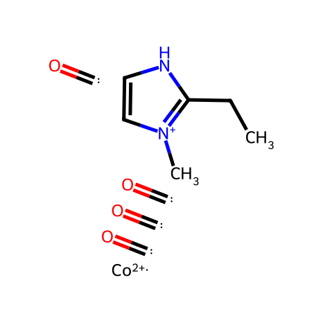 CCc1[nH]cc[n+]1C.[C]=O.[C]=O.[C]=O.[C]=O.[Co+2]